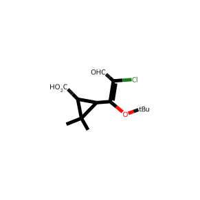 CC(C)(C)O/C(=C(\Cl)C=O)C1C(C(=O)O)C1(C)C